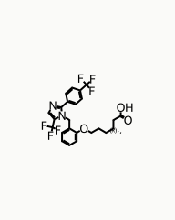 C[C@H](CCCOc1ccccc1Cn1c(C(F)(F)F)cnc1-c1ccc(C(F)(F)F)cc1)CC(=O)O